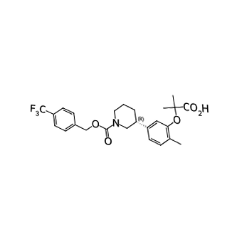 Cc1ccc([C@H]2CCCN(C(=O)OCc3ccc(C(F)(F)F)cc3)C2)cc1OC(C)(C)C(=O)O